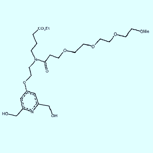 CCOC(=O)CCCN(CCOc1cc(CO)nc(CO)c1)C(=O)CCOCCOCCOCCOC